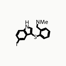 CNCc1ccccc1Sc1c[nH]c2ccc(I)cc12